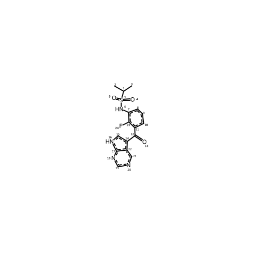 CC(C)S(=O)(=O)Nc1cccc(C(=O)c2c[nH]c3ncncc23)c1F